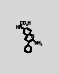 Nc1nc2ccc(NC(=O)O)cc2cc1-c1ccccc1